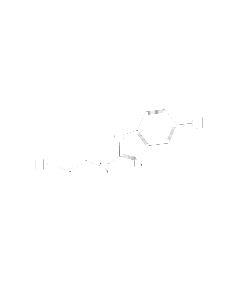 OCCNc1nc2cc(Cl)ccc2o1